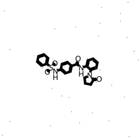 O=C(Nc1ccccc1N1CCCC1=O)c1ccc(NS(=O)(=O)c2ccccc2)cc1